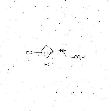 Cl.O=C(O)CNC12CC(C(F)(F)F)(C1)C2